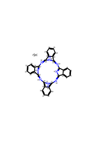 [Sn].c1ccc2c(c1)-c1nc-2nc2[nH]c(nc3nc(nc4[nH]c(n1)c1ccccc41)-c1ccccc1-3)c1ccccc21